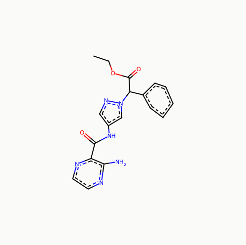 CCOC(=O)C(c1ccccc1)n1cc(NC(=O)c2nccnc2N)cn1